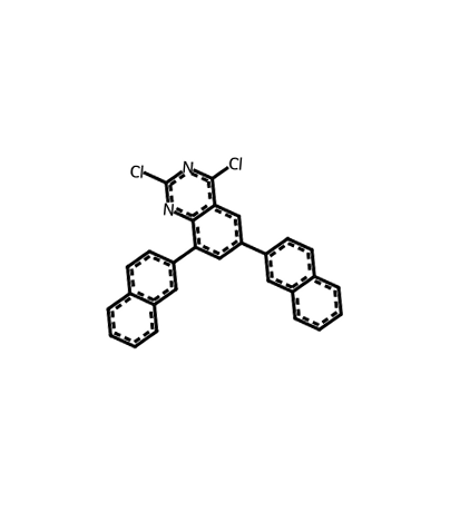 Clc1nc(Cl)c2cc(-c3ccc4ccccc4c3)cc(-c3ccc4ccccc4c3)c2n1